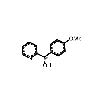 COc1ccc([C@H](O)c2ccccn2)cc1